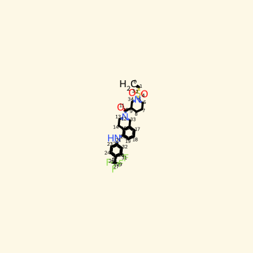 C=CS(=O)(=O)N1CCCC(C(=O)N2CCc3c(cccc3Nc3ccc(C(F)(F)F)c(F)c3)C2)C1